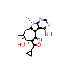 CC(C)n1c2c(c3c(N)ncnc31)-c1noc(C3CC3)c1[C@H](O)[C@@H](C)C2